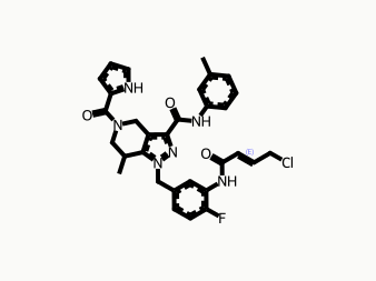 Cc1cccc(NC(=O)c2nn(Cc3ccc(F)c(NC(=O)/C=C/CCl)c3)c3c2CN(C(=O)c2ccc[nH]2)CC3C)c1